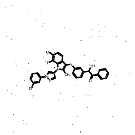 Cc1c(Sc2cccc(C(O)C(=O)c3ccccc3)c2)c2ccc(Cl)c(F)c2n1-c1cnn(-c2cccc(Cl)c2)c1